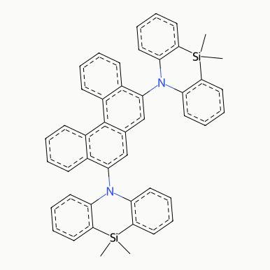 C[Si]1(C)c2ccccc2N(c2cc3cc(N4c5ccccc5[Si](C)(C)c5ccccc54)c4ccccc4c3c3ccccc23)c2ccccc21